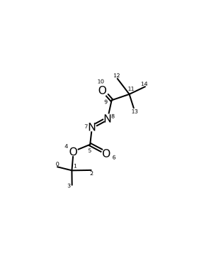 CC(C)(C)OC(=O)N=NC(=O)C(C)(C)C